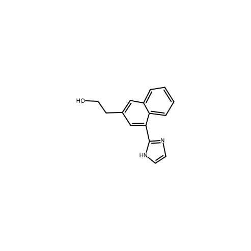 OCCc1cc(-c2ncc[nH]2)c2ccccc2c1